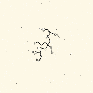 CC=C(C)[SiH2]OC(CCCI)(O[SiH3])O[SiH2]C(C)=CC